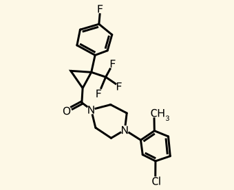 Cc1ccc(Cl)cc1N1CCN(C(=O)C2CC2(c2ccc(F)cc2)C(F)(F)F)CC1